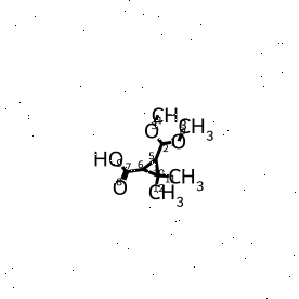 COC(OC)C1C(C(=O)O)C1(C)C